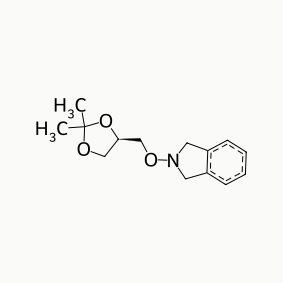 CC1(C)OC[C@H](CON2Cc3ccccc3C2)O1